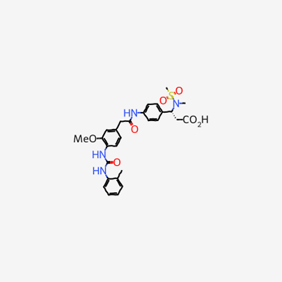 COc1cc(CC(=O)Nc2ccc([C@@H](CC(=O)O)N(C)S(C)(=O)=O)cc2)ccc1NC(=O)Nc1ccccc1C